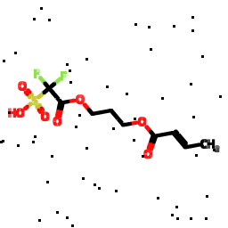 CC=CC(=O)OCCCOC(=O)C(F)(F)S(=O)(=O)O